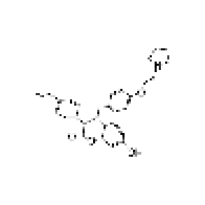 O=C1OC2C=C(O)C=CC2C(Cc2ccc(OCCN3CCCC3)cc2)C1c1ccc(CF)cc1